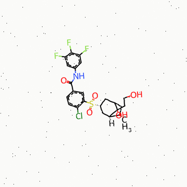 C[C@H]1CC2C[C@@H](S(=O)(=O)c3cc(C(=O)Nc4cc(F)c(F)c(F)c4)ccc3Cl)C[C@H]1[C@@]2(O)CCO